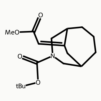 COC(=O)/C=C1/CC2CCCC1CN(C(=O)OC(C)(C)C)C2